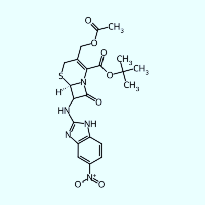 CC(=O)OCC1=C(C(=O)OC(C)(C)C)N2C(=O)C(Nc3nc4cc([N+](=O)[O-])ccc4[nH]3)[C@H]2SC1